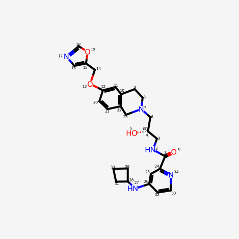 O=C(NC[C@H](O)CN1CCc2cc(OCc3cnco3)ccc2C1)c1cc(NC2CCC2)ccn1